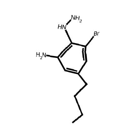 CCCCc1cc(N)c(NN)c(Br)c1